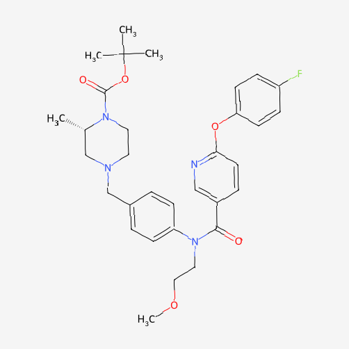 COCCN(C(=O)c1ccc(Oc2ccc(F)cc2)nc1)c1ccc(CN2CCN(C(=O)OC(C)(C)C)[C@@H](C)C2)cc1